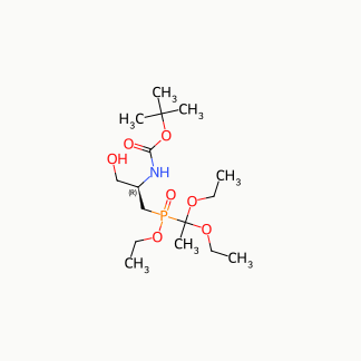 CCOC(C)(OCC)P(=O)(C[C@@H](CO)NC(=O)OC(C)(C)C)OCC